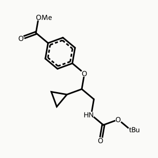 COC(=O)c1ccc(OC(CNC(=O)OC(C)(C)C)C2CC2)cc1